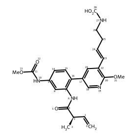 C=C[C@@H](C)C(=O)Nc1cc(NC(=O)OC)ccc1-c1cnc(OC)c(C=CCCNC(=O)O)c1